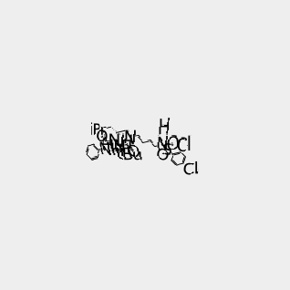 CC(C)C[C@H](CN(CCCCNS(=O)(=O)c1ccc(Cl)cc1Cl)C(=O)NC(C)(C)C)NC(=O)Nc1ccccc1